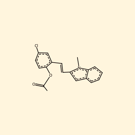 CC(=O)Oc1ccc(Cl)cc1C=Cc1cc2ccccc2n1C